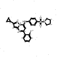 O=S(=O)(c1ccc(Nc2cc(-c3ccccc3F)nc3cc(C4CC4)nn23)cc1)N1CCCC1